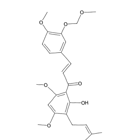 COCOc1cc(/C=C/C(=O)c2c(OC)cc(OC)c(CC=C(C)C)c2O)ccc1OC